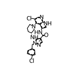 N[C@@H]1CCCN(c2c(Cl)cnc3[nH]cc(NC(=O)c4cnn(Cc5ccc(Cl)cc5)c4)c23)C1